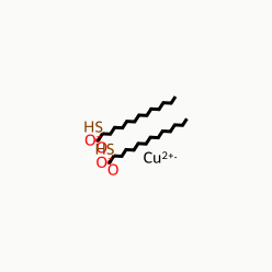 CCCCCCCCCCCCC(S)C(=O)[O-].CCCCCCCCCCCCC(S)C(=O)[O-].[Cu+2]